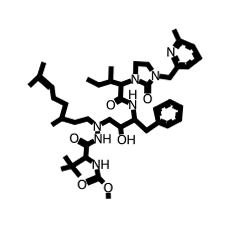 CCC(C)C(C(=O)NC(Cc1ccccc1)C(O)CN(CCC(C)CCC=C(C)C)NC(=O)C(NC(=O)OC)C(C)(C)C)N1CCN(Cc2cccc(C)n2)C1=O